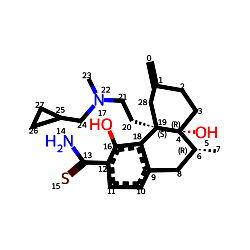 C=C1CC[C@@]2(O)[C@H](C)Cc3ccc(C(N)=S)c(O)c3[C@@]2(CCN(C)CC2CC2)C1